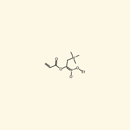 C=CC(=O)O/C(C[N+](C)(C)C)=[P+](\[O-])OCC